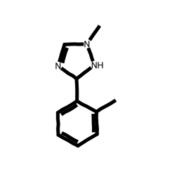 Cc1ccccc1C1N=CN(C)N1